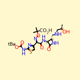 C[C@@H](O)CNC[C@@H]1NC(=O)[C@H]1NC(=O)C(=NOC(C)(C)C(=O)O)c1csc(NC(=O)OC(C)(C)C)n1